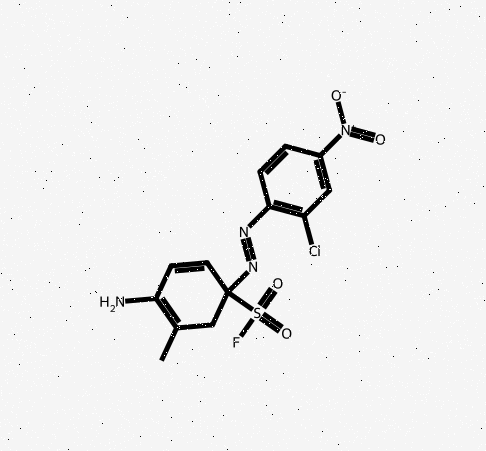 CC1=C(N)C=CC(N=Nc2ccc([N+](=O)[O-])cc2Cl)(S(=O)(=O)F)C1